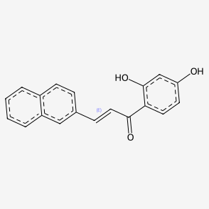 O=C(/C=C/c1ccc2ccccc2c1)c1ccc(O)cc1O